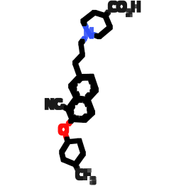 N#Cc1c(OC2CCC(C(F)(F)F)CC2)ccc2ccc(CCCN3CCC(C(=O)O)CC3)cc12